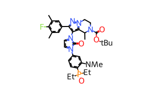 CCP(=O)(CC)c1ccc(-n2ccn(-c3c(-c4cc(C)c(F)c(C)c4)nn4c3C(C)N(C(=O)OC(C)(C)C)CC4)c2=O)cc1NC